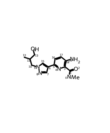 CNC(=O)c1nc(-c2cnn(CC(C)CO)c2)ccc1N